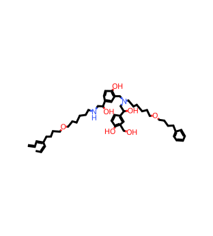 C=C/C=C(\C=C/C)CCCCOCCCCCCNCC(O)c1ccc(O)c(CN(CCCCCCOCCCCc2ccccc2)CC(O)c2ccc(O)c(CO)c2)c1